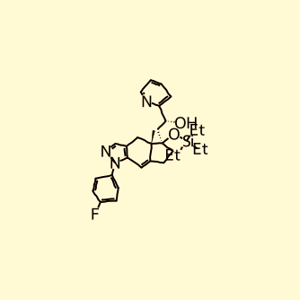 CC[Si](CC)(CC)O[C@@]1(C[C@@H](O)c2ccccn2)CCC2=Cc3c(cnn3-c3ccc(F)cc3)C[C@@]21C